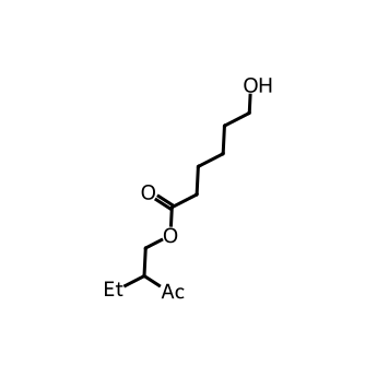 CCC(COC(=O)CCCCCO)C(C)=O